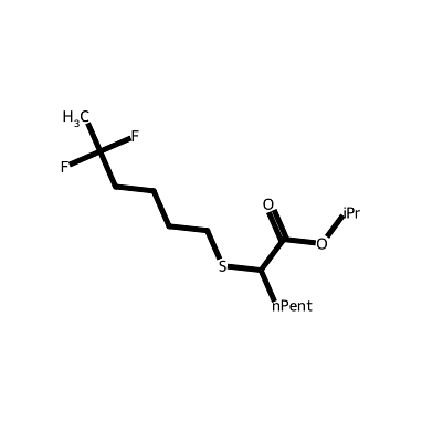 CCCCCC(SCCCCC(C)(F)F)C(=O)OC(C)C